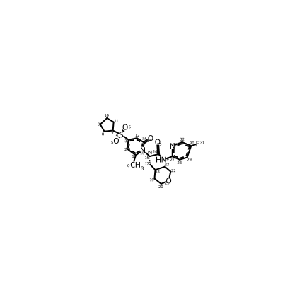 Cc1cc(S(=O)(=O)C2CCCC2)cc(=O)n1[C@@H](CC1CCOCC1)C(=O)Nc1ccc(F)cn1